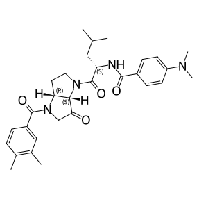 Cc1ccc(C(=O)N2CC(=O)[C@@H]3[C@H]2CCN3C(=O)[C@H](CC(C)C)NC(=O)c2ccc(N(C)C)cc2)cc1C